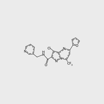 O=C(NCc1cccnc1)c1nn2c(C(F)(F)F)cc(-c3ccco3)nc2c1Cl